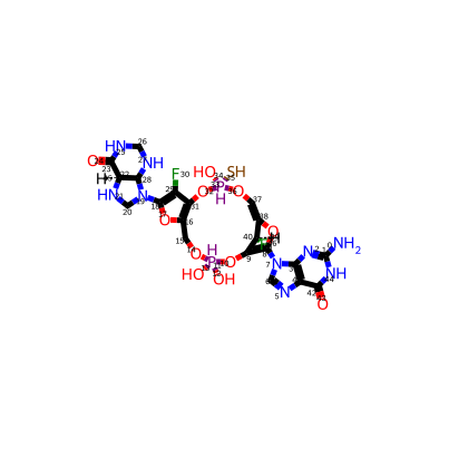 Nc1nc2c(ncn2C2=C3O[PH](O)(O)OCc4oc(N5CN[C@H]6C(=O)NCNC65)c(F)c4O[PH](O)(S)O/C=C(/O2)[C@H]3F)c(=O)[nH]1